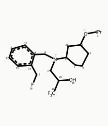 CC(C)OC1CCCC(N(Cc2ccccc2CF)CC(O)C(F)(F)F)C1